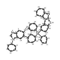 Cc1cc2ncn(-c3ccccc3)c2cc1-c1cccc([Si](c2ccccc2)(c2ccccc2)c2ccc3sc4nc5ccccc5n4c3c2)c1